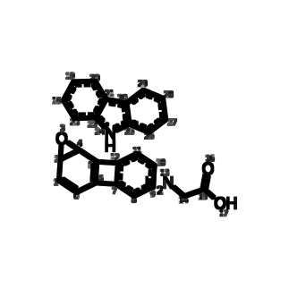 C1=CC2OC2C2=C1c1ccccc12.NCC(=O)O.c1ccc2c(c1)[nH]c1ccccc12